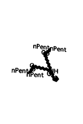 CCCCCC(CCCCC)CCOC(=O)CCCCCCCCC(CCCCCCCCC(=O)OCCC(CCCCC)CCCCC)NC(=O)CCN1CCCC1